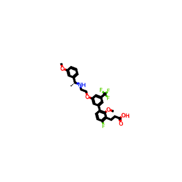 COc1cccc([C@@H](C)NCCOc2cc(-c3ccc(F)c(CCC(=O)O)c3OC)cc(C(F)(F)F)c2)c1